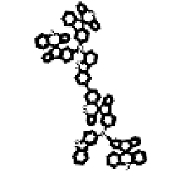 c1ccc2c(c1)Sc1ccccc1C21c2ccccc2-c2cc(N(c3ccc4c(c3)C3(c5ccccc5Sc5cc(-c6ccc7sc8c(N(c9ccc%10c(c9)-c9ccccc9C%109c%10ccccc%10Sc%10ccccc%109)c9ccc%10c(c9)C9(c%11ccccc%11Sc%11ccccc%119)c9ccccc9-%10)cccc8c7c6)ccc53)c3ccccc3-4)c3ccc4sc5ccccc5c4c3)ccc21